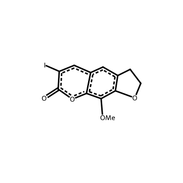 COc1c2c(cc3cc(I)c(=O)oc13)CCO2